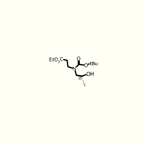 CCOC(=O)CCN(C[C@@H](C)O)C(=O)OC(C)(C)C